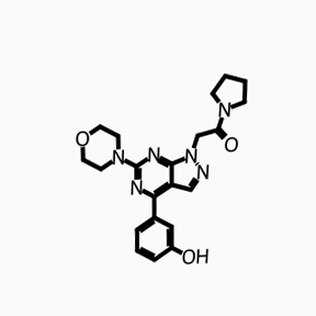 O=C(Cn1ncc2c(-c3cccc(O)c3)nc(N3CCOCC3)nc21)N1CCCC1